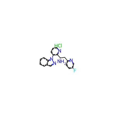 Cl.N[C@@H](Cc1ccc(F)cn1)c1ncccc1-n1ncc2ccccc21